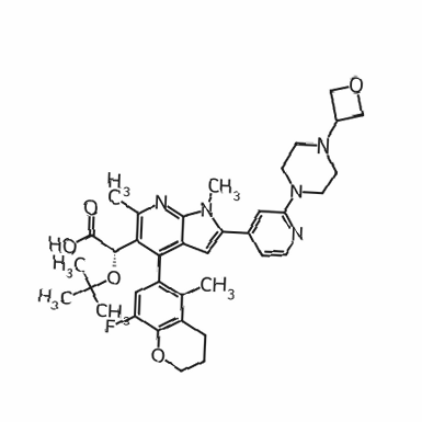 Cc1nc2c(cc(-c3ccnc(N4CCN(C5COC5)CC4)c3)n2C)c(-c2cc(F)c3c(c2C)CCCO3)c1[C@H](OC(C)(C)C)C(=O)O